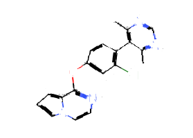 Cc1ncnc(C)c1-c1ccc(Oc2nccn3cccc23)cc1Cl